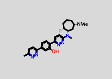 CN[C@H]1CCC[C@@H](F)[C@@H](N(C)c2ccc(-c3ccc(-c4ccc(C)nn4)cc3O)nn2)C1